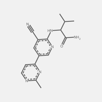 Cc1nccc(-c2cnc(NC(C(N)=O)C(C)C)c(C#N)c2)n1